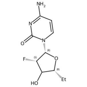 CC[C@H]1O[C@@H](n2ccc(N)nc2=O)[C@@H](F)C1O